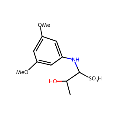 COc1cc(NC(C(C)O)S(=O)(=O)O)cc(OC)c1